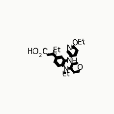 CCOc1ccc(Nc2cc([C@@H](CC)CC(=O)O)ccc2N(CC)C2CCOCC2)cn1